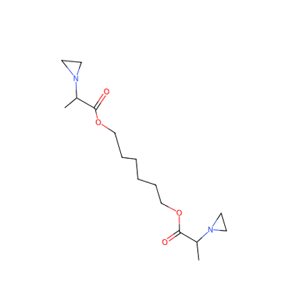 CC(C(=O)OCCCCCCOC(=O)C(C)N1CC1)N1CC1